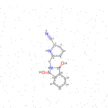 N#Cc1cccc(CN2C(=O)c3ccccc3C2=O)n1